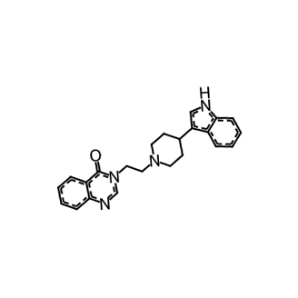 O=c1c2ccccc2ncn1CCN1CCC(c2c[nH]c3ccccc23)CC1